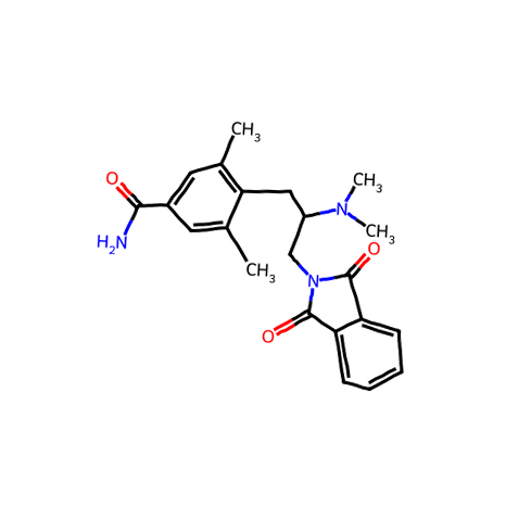 Cc1cc(C(N)=O)cc(C)c1CC(CN1C(=O)c2ccccc2C1=O)N(C)C